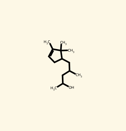 CC1=CCC(CC(C)CC(C)O)C1(C)C